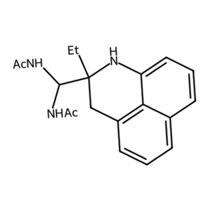 CCC1(C(NC(C)=O)NC(C)=O)Cc2cccc3cccc(c23)N1